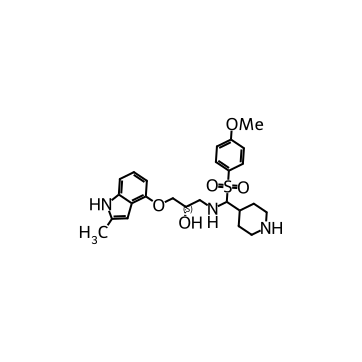 COc1ccc(S(=O)(=O)C(NC[C@H](O)COc2cccc3[nH]c(C)cc23)C2CCNCC2)cc1